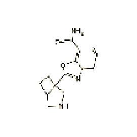 NC(=O)c1cccc2nc(C34CCC3CNC4)oc12